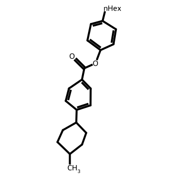 CCCCCCc1ccc(OC(=O)c2ccc(C3CCC(C)CC3)cc2)cc1